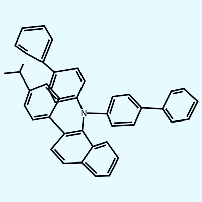 CC(C)c1ccc(-c2ccc3ccccc3c2N(c2ccc(-c3ccccc3)cc2)c2ccc(-c3ccccc3)cc2)cc1